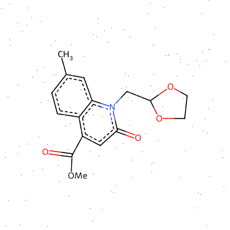 COC(=O)c1cc(=O)n(CC2OCCO2)c2cc(C)ccc12